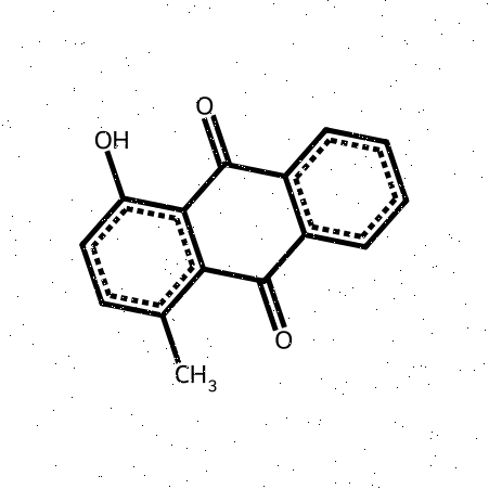 Cc1ccc(O)c2c1C(=O)c1ccccc1C2=O